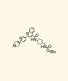 CN1CCN(c2ccc(-c3cc(C(=O)N[C@H]4CC[C@H](CNC(=O)OC(C)(C)C)CC4)c4ccccc4n3)cn2)CC1